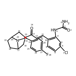 NC(=O)Nc1cc(Cl)ccc1C=CC(=O)N1CC2CCC(C1)N2Cc1ccc(F)cc1